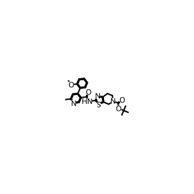 COc1ccccc1-c1cc(C)ncc1C(=O)Nc1nc2c(s1)CN(C(=O)OC(C)(C)C)CC2